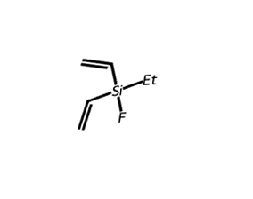 C=C[Si](F)(C=C)CC